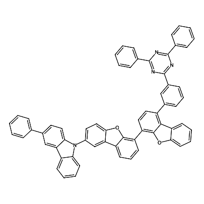 c1ccc(-c2ccc3c(c2)c2ccccc2n3-c2ccc3oc4c(-c5ccc(-c6cccc(-c7nc(-c8ccccc8)nc(-c8ccccc8)n7)c6)c6c5oc5ccccc56)cccc4c3c2)cc1